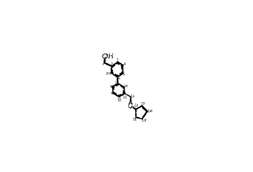 OCc1cccc(-c2cccc(COC3CCCC3)c2)c1